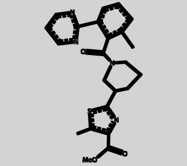 COC(=O)c1nc(C2CCCN(C(=O)c3c(C)cccc3-c3ncccn3)C2)sc1C